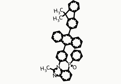 Cc1nc2cccc3c2n1-c1ccc(-c2c4ccccc4c(-c4ccc5c(c4)C(C)(C)c4ccccc4-5)c4ccccc24)cc1P3(=O)c1ccccc1